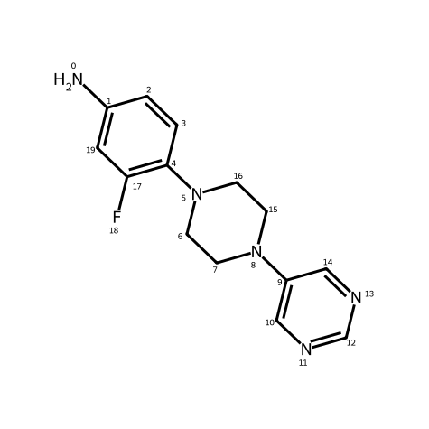 Nc1ccc(N2CCN(c3cncnc3)CC2)c(F)c1